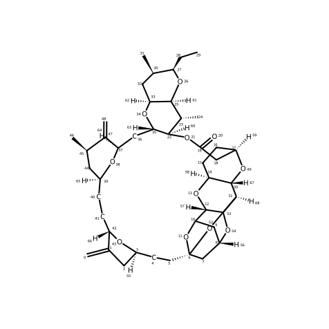 C=C1C[C@@H]2CC[C@]34C[C@@H]5CC(O3)[C@@H]3O[C@H]6CC[C@H](CC(=O)O[C@@H]7[C@@H](C)[C@@H]8O[C@H](CC)[C@H](C)C[C@@H]8O[C@H]7C[C@H]7O[C@@H](CC[C@@H]1O2)C[C@@H](C)C7=C)O[C@@H]6[C@H](O4)C3O5